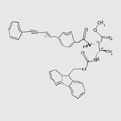 COC(=O)[C@@H](NC(=O)c1ccc(/C=C/C#Cc2ccccc2)cc1)[C@@H](C)NC(=O)OCC1c2ccccc2-c2ccccc21